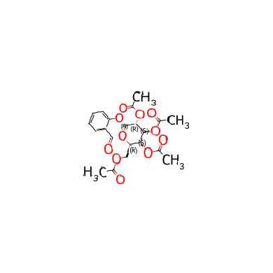 CC(=O)OC[C@H]1O[C@H](Oc2ccccc2C=O)[C@H](OC(C)=O)[C@@H](OC(C)=O)[C@H]1OC(C)=O